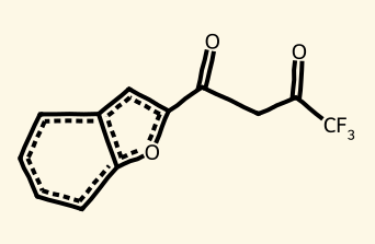 O=C(CC(=O)C(F)(F)F)c1cc2ccccc2o1